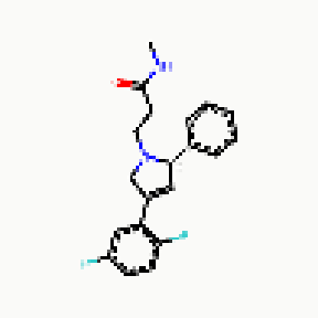 CNC(=O)CCN1CC(c2cc(F)ccc2F)=C[C@H]1c1ccccc1